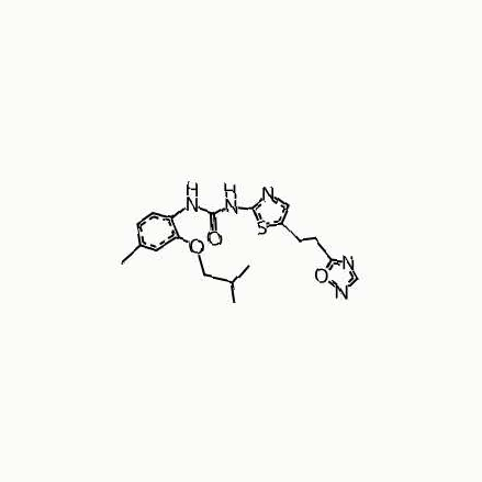 Cc1ccc(NC(=O)Nc2ncc(CCc3ncno3)s2)c(OCC(C)C)c1